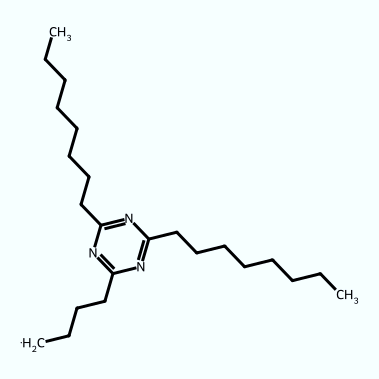 [CH2]CCCc1nc(CCCCCCCC)nc(CCCCCCCC)n1